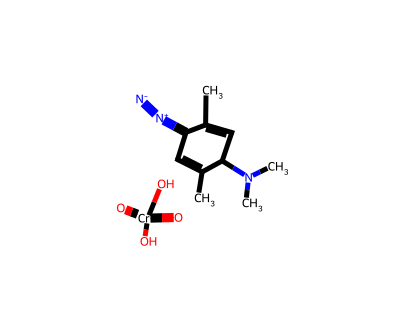 CC1=CC(N(C)C)C(C)=CC1=[N+]=[N-].[O]=[Cr](=[O])([OH])[OH]